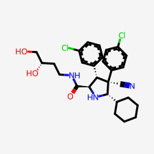 N#C[C@]1(c2ccc(Cl)cc2)[C@H](C2CCCCC2)N[C@@H](C(=O)NCC[C@H](O)CO)[C@@H]1c1cccc(Cl)c1